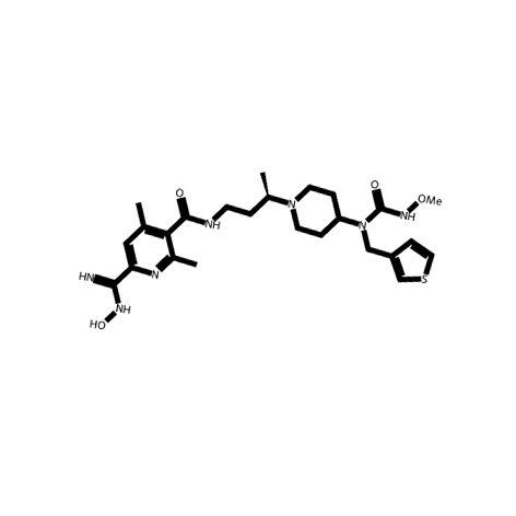 CONC(=O)N(Cc1ccsc1)C1CCN([C@H](C)CCNC(=O)c2c(C)cc(C(=N)NO)nc2C)CC1